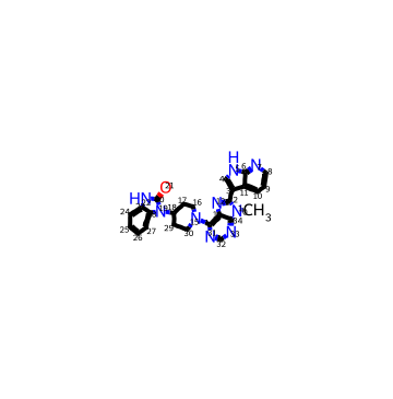 Cn1c(-c2c[nH]c3ncccc23)nc2c(N3CCC(n4c(=O)[nH]c5ccccc54)CC3)ncnc21